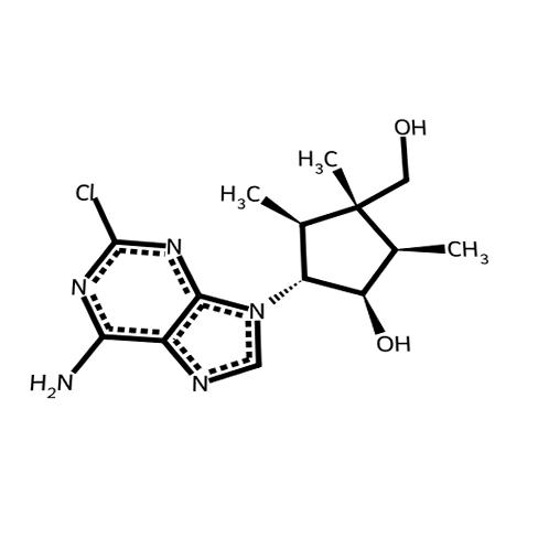 C[C@@H]1[C@@H](n2cnc3c(N)nc(Cl)nc32)[C@H](O)[C@H](C)[C@@]1(C)CO